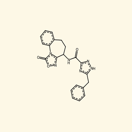 O=C(NC1CCc2ccccc2-n2c1noc2=O)c1n[nH]c(Cc2ccccc2)n1